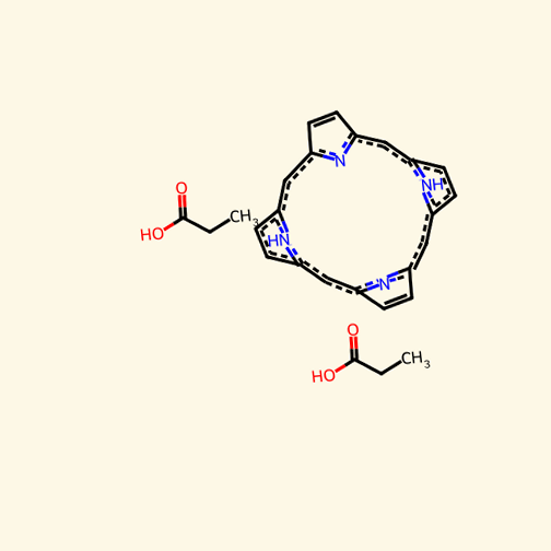 C1=Cc2cc3ccc(cc4nc(cc5ccc(cc1n2)[nH]5)C=C4)[nH]3.CCC(=O)O.CCC(=O)O